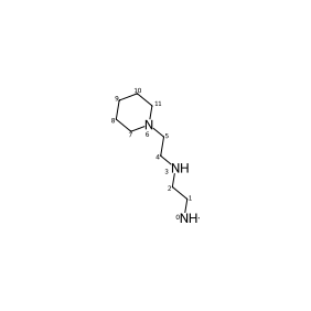 [NH]CCNCCN1CCCCC1